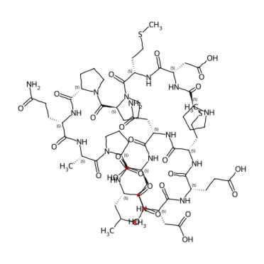 CSCC[C@H](NC(=O)[C@H](CCC(=O)O)NC(=O)[C@H](CC(=O)O)NC(=O)[C@H](CC(C)C)NC(=O)[C@@H]1CCCN1C(=O)[C@H](C)NC(=O)[C@H](CCC(N)=O)NC(=O)[C@@H]1CCCN1C(=O)[C@@H]1CCCN1C(=O)[C@H](CCSC)NC(=O)[C@H](CC(=O)O)NC(=O)[C@@H]1CCCN1)C(=O)N[C@@H](CC(N)=O)C(=O)N[C@@H](CCC(=O)O)C(=O)O